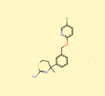 CC1(c2cccc(COc3ccc(Cl)cn3)c2)CCSC(N)=N1